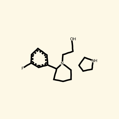 C1CCNC1.OCCN1CCCCC1c1cccc(F)c1